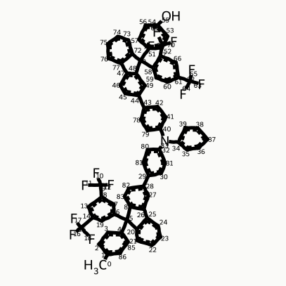 Cc1ccc(C2(c3cc(C(F)(F)F)cc(C(F)(F)F)c3)c3ccccc3-c3cc(-c4ccc(N(c5ccccc5)c5ccc(-c6ccc7c(c6)C(c6ccc(O)cc6)(c6ccc(C(F)(F)F)cc6C(F)(F)F)c6ccccc6-7)cc5)cc4)ccc32)cc1